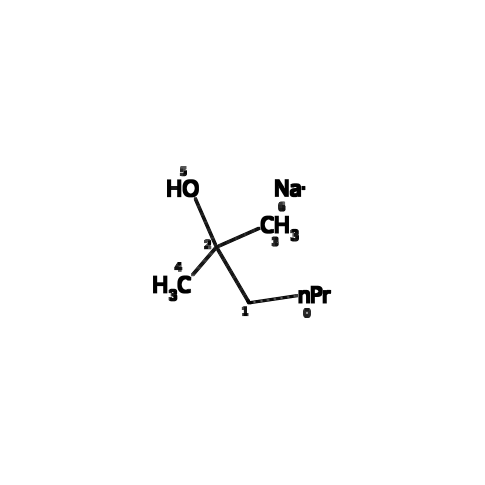 CCCCC(C)(C)O.[Na]